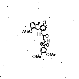 COc1ccc(S(=O)(=O)NCC(=O)Nc2ccc(Cl)cc2Cc2c(F)cccc2OC)cc1OC